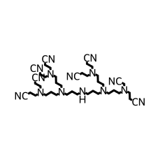 N#CCCN(CC#N)CCCN(CCCNCCCN(CCCN(CCC#N)CCC#N)CCCN(CCC#N)CCC#N)CCCN(CCC#N)CCC#N